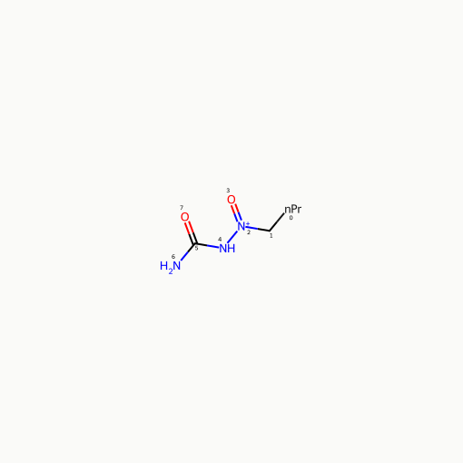 CCCC[N+](=O)NC(N)=O